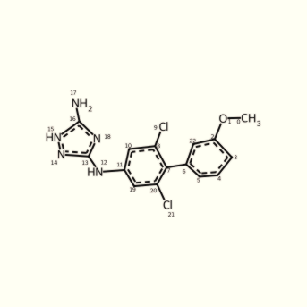 COc1cccc(-c2c(Cl)cc(Nc3n[nH]c(N)n3)cc2Cl)c1